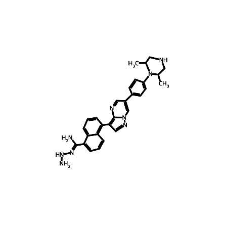 CC1CNCC(C)N1c1ccc(-c2cnc3c(-c4cccc5c(/C(N)=N/NN)cccc45)cnn3c2)cc1